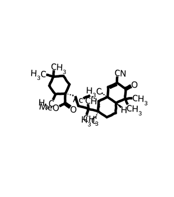 COC(=O)[C@]1(CCC(C)(C)[C@]2(C)CC[C@H]3C(C)(C)C(=O)C(C#N)=C[C@]3(C)[C@H]2CC(C)=O)CCC(C)(C)CC1C